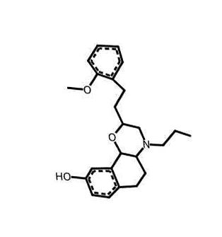 CCCN1CC(CCc2ccccc2OC)OC2c3cc(O)ccc3CCC21